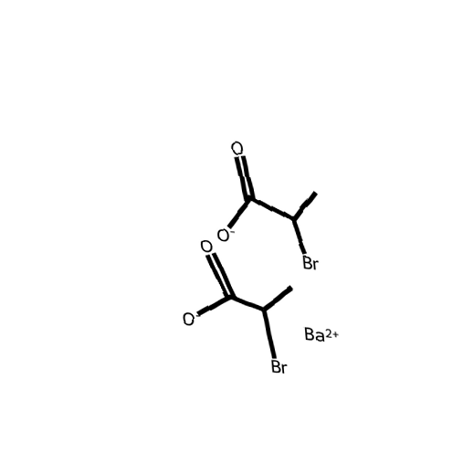 CC(Br)C(=O)[O-].CC(Br)C(=O)[O-].[Ba+2]